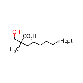 CCCCCCCCCCCCC(C)(CO)C(=O)O